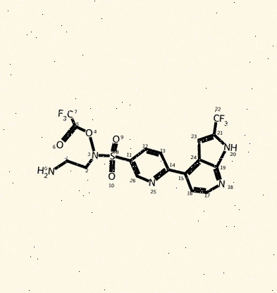 NCCN(OC(=O)C(F)(F)F)S(=O)(=O)c1ccc(-c2ccnc3[nH]c(C(F)(F)F)cc23)nc1